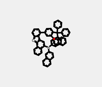 c1ccc(C2(c3ccccc3)c3ccccc3-c3cc(-c4cccc5oc6c7ccccc7c(N(c7ccc8ccccc8c7)c7ccc8ccccc8c7)cc6c45)ccc32)cc1